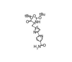 CC(C)(C)OC(=O)N[C@@H](Cc1nc(-c2ccc(C(N)=O)cn2)cs1)C(=O)OC(C)(C)C